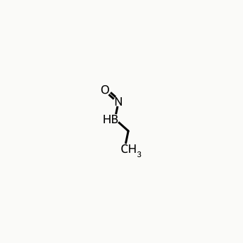 CCBN=O